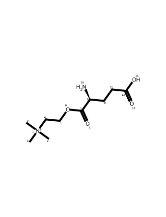 C[N+](C)(C)CCOC(=O)[C@@H](N)CCC(=O)O